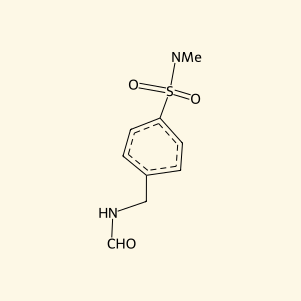 CNS(=O)(=O)c1ccc(CNC=O)cc1